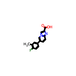 Cc1cc(-c2ccc3nc(C(=O)O)cn3c2)ccc1F